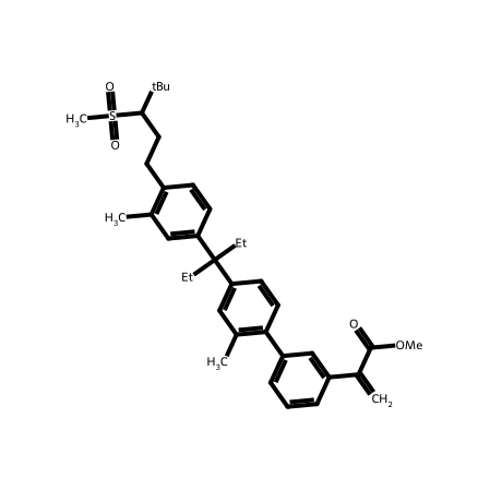 C=C(C(=O)OC)c1cccc(-c2ccc(C(CC)(CC)c3ccc(CCC(C(C)(C)C)S(C)(=O)=O)c(C)c3)cc2C)c1